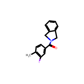 Cc1ccc(C(=O)N2Cc3ccccc3C2)cc1I